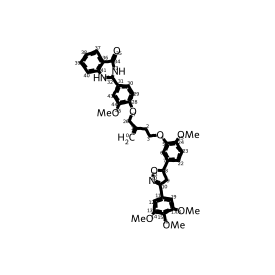 C=C(CCOc1cc(C2CC(c3cc(OC)c(OC)c(OC)c3)=NO2)ccc1OC)COc1ccc(C2NC(=O)c3ccccc3N2)cc1OC